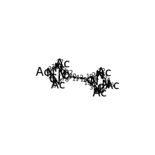 CC(=O)N1CCN(C(C)=O)Cc2cc(C#CC#Cc3cc4nc(c3)CN(C(C)=O)CCN(C(C)=O)CCN(C(C)=O)C4)cc(n2)CN(C(C)=O)CC1